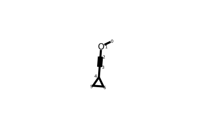 COC#CC1CC1